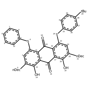 CCCCCCCCCCc1cc(Sc2ccccc2)c2c(c1O)C(=O)c1c(O)c(CCCCCCCCCC)cc(Sc3ccc(C(C)(C)C)cc3)c1C2=O